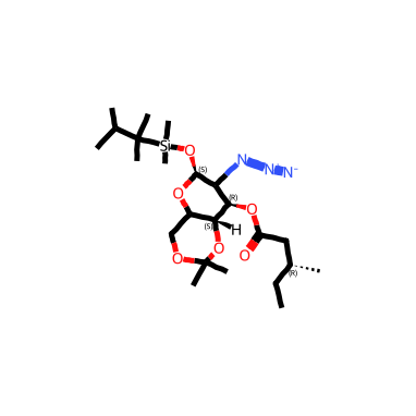 CC[C@@H](C)CC(=O)O[C@@H]1C(N=[N+]=[N-])[C@H](O[Si](C)(C)C(C)(C)C(C)C)OC2COC(C)(C)O[C@H]21